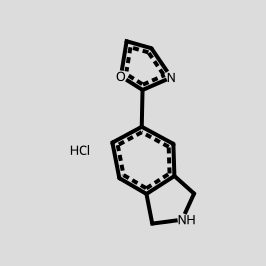 Cl.c1coc(-c2ccc3c(c2)CNC3)n1